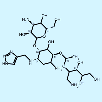 C[C@@H](OC(CN)[C@H](O)C(O)CO)O[C@H]1C(N)C[C@H](NCc2c[nH]nn2)[C@H](OC2O[C@@H](CO)C(O)[C@H](N)[C@@H]2O)C1O